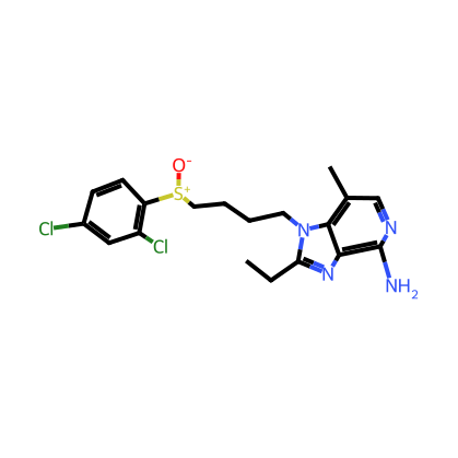 CCc1nc2c(N)ncc(C)c2n1CCCC[S+]([O-])c1ccc(Cl)cc1Cl